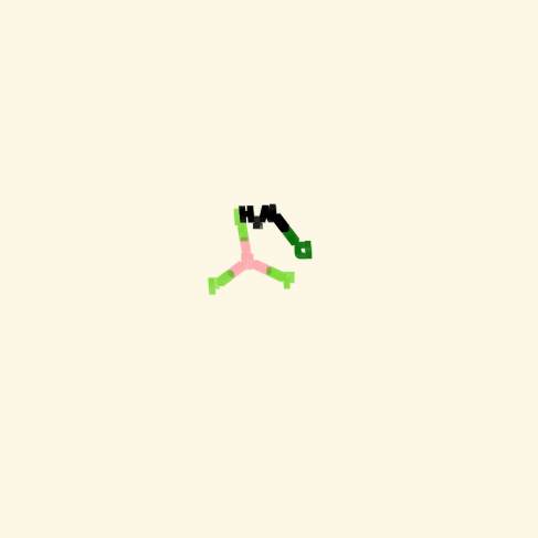 FB(F)F.[AlH2][Cl]